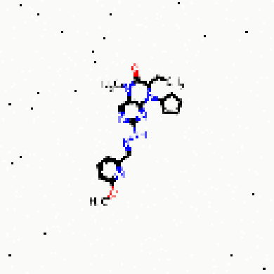 CCC1C(=O)N(C)c2cnc(N/N=C/c3cccc(OC)n3)nc2N1C1CCCC1